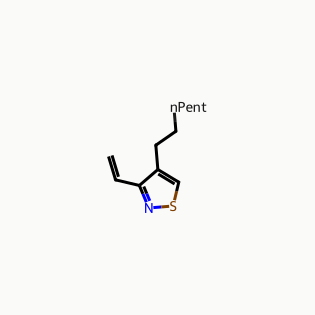 C=Cc1nscc1CCCCCCC